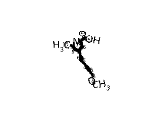 COCC#CC#Cc1cc(C)nc(C(=O)O)c1